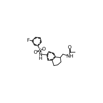 CC(=O)NCC1CCCc2cc(NS(=O)(=O)c3cccc(F)c3)ccc21